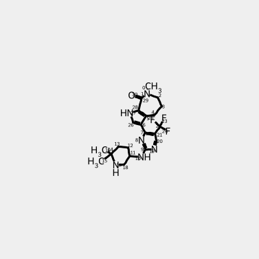 CN1CCCc2c(-c3nc(NC4CCC(C)(C)NC4)ncc3C(F)(F)F)c[nH]c2C1=O